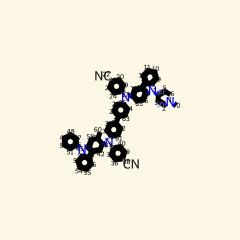 C=N/C=C\C(=C/C)n1c2ccccc2c2cc(N(c3ccc(C#N)cc3)c3ccc(-c4ccc(N(c5ccc(C#N)cc5)C5C=c6c(n(-c7ccccc7)c7ccccc67)=CC5C)cc4)cc3)ccc21